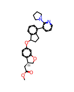 COC(=O)C[C@@H]1COc2cc(OC3CCc4c(-c5cccnc5N5CCCC5)cccc43)ccc21